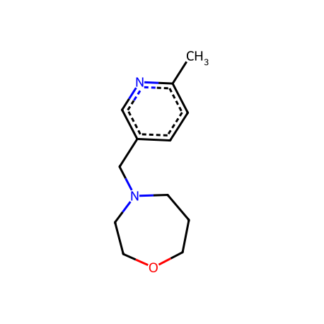 Cc1ccc(CN2CCCOCC2)cn1